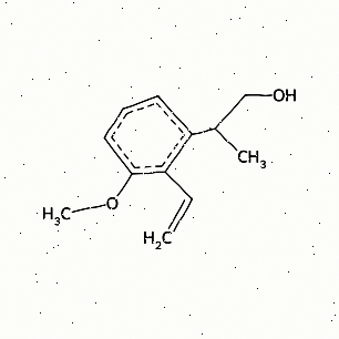 C=Cc1c(OC)cccc1[C](C)CO